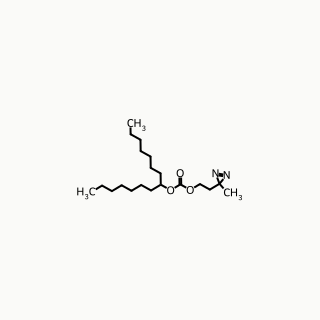 CCCCCCCC(CCCCCCC)OC(=O)OCCC1(C)N=N1